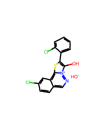 Oc1c(-c2ccccc2Cl)sc2c3cc(Cl)ccc3cn[n+]12.[OH-]